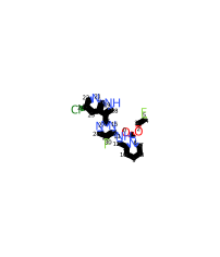 O=C(OCCF)N1CCCCC1CNc1nc(-c2c[nH]c3ncc(Cl)cc23)ncc1F